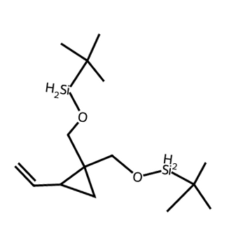 C=CC1CC1(CO[SiH2]C(C)(C)C)CO[SiH2]C(C)(C)C